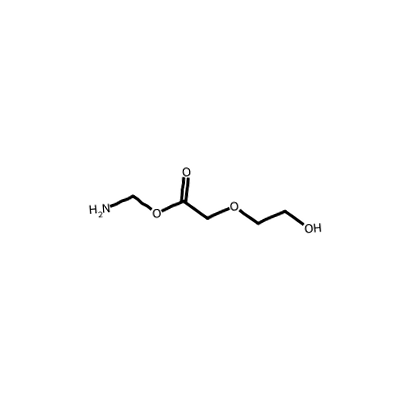 NCOC(=O)COCCO